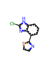 Clc1nc2c(-c3nccs3)cccc2[nH]1